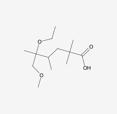 CCOC(C)(COC)C(C)CC(C)(C)C(=O)O